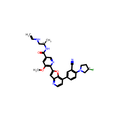 C=CNC[C@@H](C)NC(=O)c1cnc(-c2cc3nccc(-c4ccc(N5CC[C@@H](F)C5)c(C#N)c4)c3o2)c(OC)c1